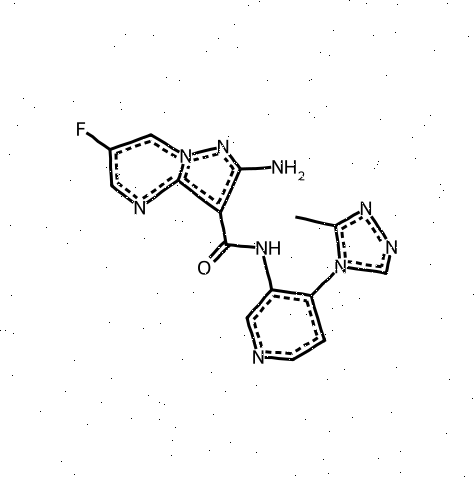 Cc1nncn1-c1ccncc1NC(=O)c1c(N)nn2cc(F)cnc12